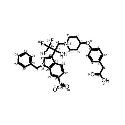 O=C(O)Cc1ccc(OC2CCN(CC(O)(c3cn(Cc4ccccc4)c4cc([N+](=O)[O-])ccc34)C(F)(F)F)CC2)cc1